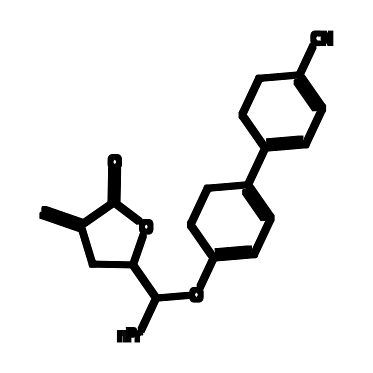 C=C1CC(C(CCC)OC2=CC=C(C3=CC=C(C#N)CC3)CC2)OC1=O